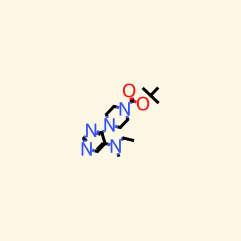 CCN(C)c1cncnc1N1CCN(C(=O)OC(C)(C)C)CC1